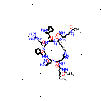 CCCC[C@H](NC(C)=O)C(=O)NC1Cc2cn(nn2)CCCCC(C(=O)NC(CCCCNC(C)=O)C(N)=O)NC(=O)[C@H](CCc2c[nH]c3ccccc23)NC(=O)[C@@H](CCCNC(=N)N)NC(=O)[C@@H](Cc2ccccc2)NC(=O)[C@H](Cc2c[nH]cn2)NC1=O